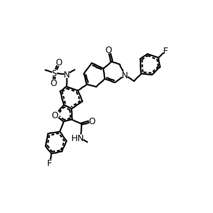 CNC(=O)c1c(-c2ccc(F)cc2)oc2cc(N(C)S(C)(=O)=O)c(C3=CC=C4C(=O)CN(Cc5ccc(F)cc5)C=C4C3)cc12